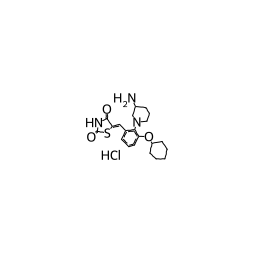 Cl.NC1CCCN(c2c(C=C3SC(=O)NC3=O)cccc2OC2CCCCC2)C1